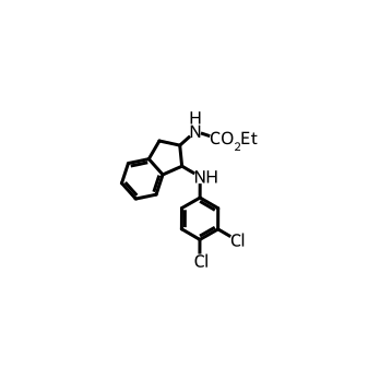 CCOC(=O)NC1Cc2ccccc2C1Nc1ccc(Cl)c(Cl)c1